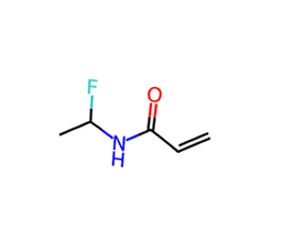 C=CC(=O)NC(C)F